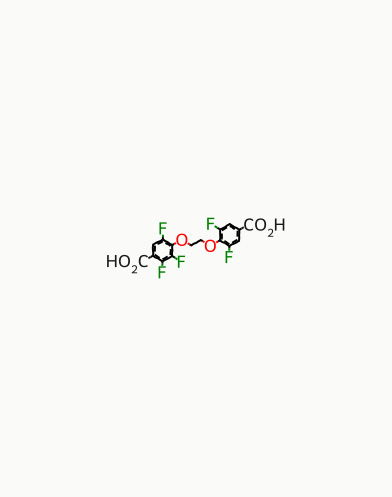 O=C(O)c1cc(F)c(OCCOc2c(F)cc(C(=O)O)c(F)c2F)c(F)c1